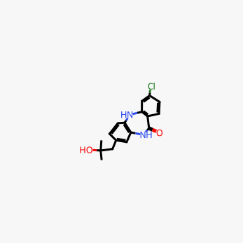 CC(C)(O)Cc1ccc2c(c1)NC(=O)c1ccc(Cl)cc1N2